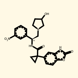 O=C(N[C@H](CN1CCC(O)C1)c1cccc([N+](=O)[O-])c1)C1(c2ccc3oc(=O)[nH]c3c2)CC1